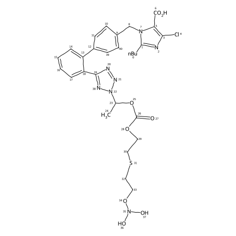 CCCCc1nc(Cl)c(C(=O)O)n1Cc1ccc(-c2ccccc2-c2nnn(C(C)OC(=O)OCCSCCON(O)O)n2)cc1